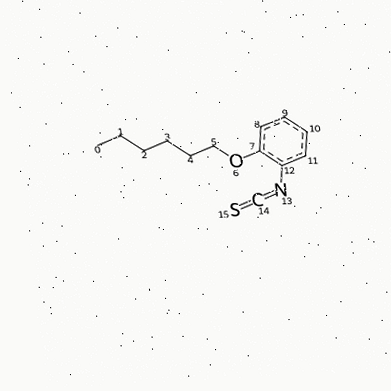 CCCCCCOc1ccccc1N=C=S